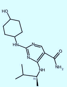 CC(C)[C@H](C)Nc1nc(NC2CCC(O)CC2)ncc1C(N)=O